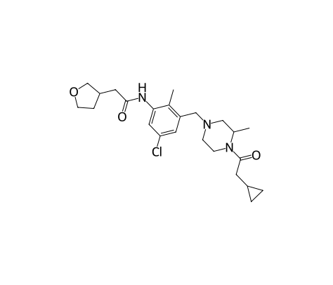 Cc1c(CN2CCN(C(=O)CC3CC3)C(C)C2)cc(Cl)cc1NC(=O)CC1CCOC1